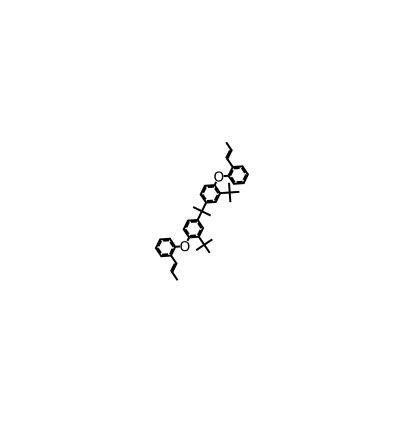 CC=Cc1ccccc1Oc1ccc(C(C)(C)c2ccc(Oc3ccccc3C=CC)c(C(C)(C)C)c2)cc1C(C)(C)C